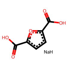 O=C(O)c1ccc(C(=O)O)o1.[NaH]